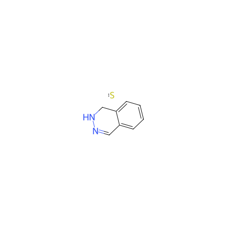 C1=NNCc2ccccc21.[S]